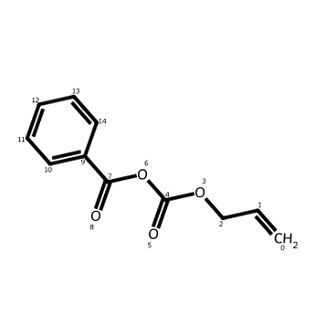 C=CCOC(=O)OC(=O)c1ccccc1